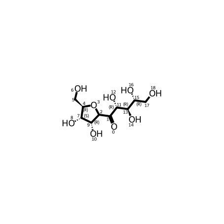 O=C(C1O[C@H](CO)[C@@H](O)[C@H]1O)[C@H](O)[C@H](O)[C@H](O)CO